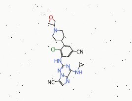 N#Cc1cc(Nc2nc(NC3CC3)c3ncc(C#N)n3n2)c(Cl)c(C2CCN(C3COC3)CC2)c1